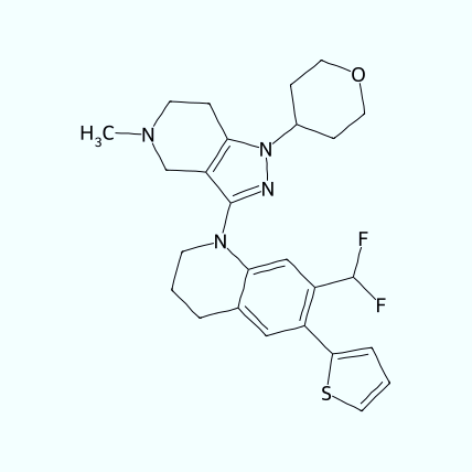 CN1CCc2c(c(N3CCCc4cc(-c5cccs5)c(C(F)F)cc43)nn2C2CCOCC2)C1